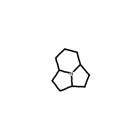 [CH]1CC2CCC3CCCC1N23